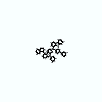 c1ccc(-c2ccc(N(c3ccc4c5c(-c6cccc7ccccc67)cccc5n(-c5ccccc5)c4c3)c3cccc4c3sc3ccccc34)cc2)cc1